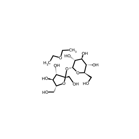 CCOCC.OC[C@H]1O[C@@](CO)(O[C@H]2O[C@H](CO)[C@@H](O)[C@H](O)[C@H]2O)[C@@H](O)[C@@H]1O